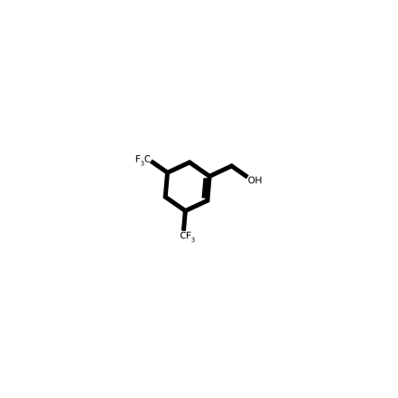 OCC1=CC(C(F)(F)F)CC(C(F)(F)F)C1